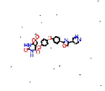 COCCC1(Oc2ccc(Oc3ccc(-c4nc(-c5ccnnc5)co4)cc3)cc2)C(=O)NC(=O)NC1=O